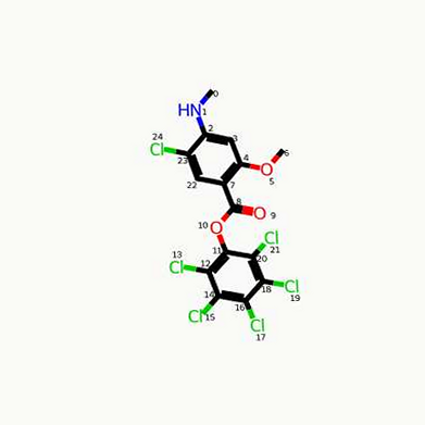 CNc1cc(OC)c(C(=O)Oc2c(Cl)c(Cl)c(Cl)c(Cl)c2Cl)cc1Cl